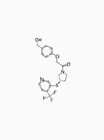 O=C(COc1ccc(CO)cc1)N1CC[C@@H](Sc2cnccc2C(F)(F)F)C1